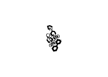 CN1CCN(S(=O)(=O)c2ccccc2-c2cc[c]c(S(=O)(=O)N3CCC(N4CCCC4)CC3)c2)CC1